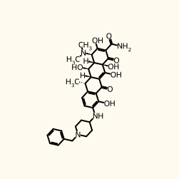 C[C@H]1c2ccc(NC3CCN(Cc4ccccc4)CC3)c(O)c2C(=O)C2=C(O)[C@@]3(O)C(=O)C(C(N)=O)=C(O)[C@H](N(C)C)[C@H]3[C@H](O)[C@H]21